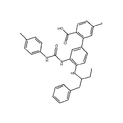 CCC(Cc1ccccc1)Nc1ccc(-c2cc(F)ccc2C(=O)O)cc1NC(=O)Nc1ccc(C)cc1